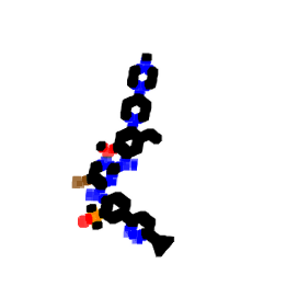 CCc1cc(Nc2ncc(Br)c(Nc3ccc(-c4ccc(C5CC5)nn4)cc3P(C)(C)=O)n2)c(OC)cc1N1CCC(N2CCN(C)CC2)CC1